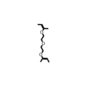 CC=C(C)OCCOCCOC(C)=CC